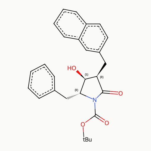 CC(C)(C)OC(=O)N1C(=O)[C@H](Cc2ccc3ccccc3c2)[C@H](O)[C@H]1Cc1ccccc1